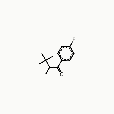 CC(C(=O)c1ccc(F)cc1)C(C)(C)C